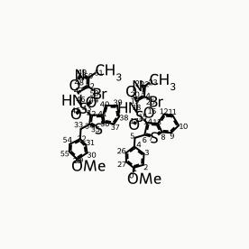 COc1ccc(Cc2sc3ccccc3c2S(=O)(=O)Nc2onc(C)c2Br)cc1.COc1ccc(Cc2sc3ccccc3c2S(=O)(=O)Nc2onc(C)c2Br)cc1